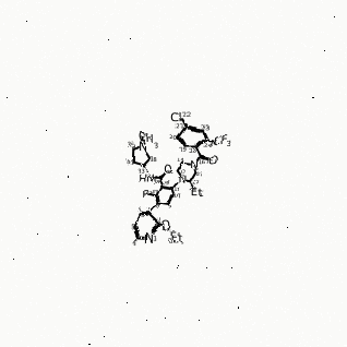 CCOc1ncccc1-c1ccc(N2CCN(C(=O)c3ccc(Cl)cc3C(F)(F)F)C[C@H]2CC)c(C(=O)N[C@@H]2CCN(C)C2)c1F